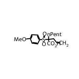 C=CCC(CCCCC)(C(=O)O)S(=O)(=O)c1ccc(OC)cc1